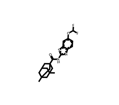 CC12CC3CC(C)(C1)CC(C(=O)Nc1nc4ccc(OC(F)F)cc4s1)(C3)C2